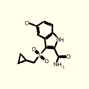 NC(=O)c1[nH]c2ccc(Cl)cc2c1S(=O)(=O)CC1CC1